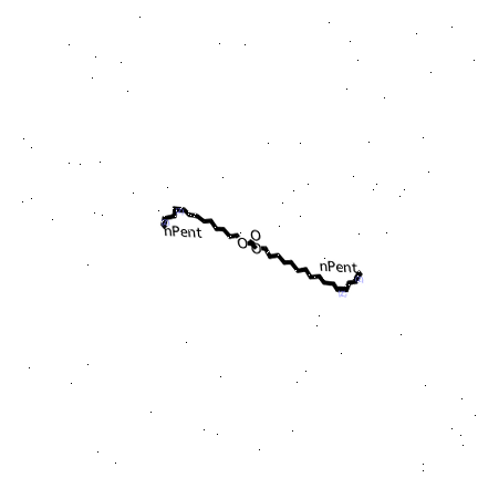 CCCCC/C=C\C/C=C\CCCCCCCCCCCOC(=O)OCCCCCCCC/C=C\C/C=C\CCCCC